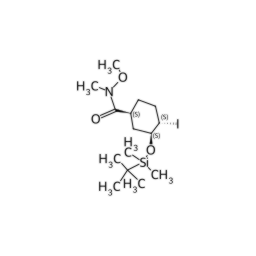 CON(C)C(=O)[C@H]1CC[C@H](I)[C@@H](O[Si](C)(C)C(C)(C)C)C1